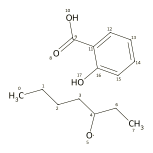 CCCCC([O])CC.O=C(O)c1ccccc1O